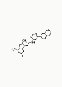 Cc1cc(F)cc2c1cc(C)n2CCNc1cc(-c2ccc3ccncc3c2)ncn1